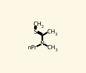 C=S=C(C)N(C)CCC